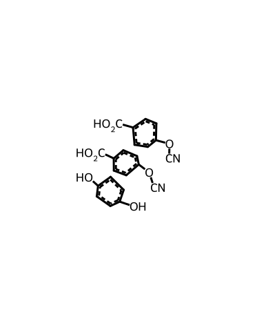 N#COc1ccc(C(=O)O)cc1.N#COc1ccc(C(=O)O)cc1.Oc1ccc(O)cc1